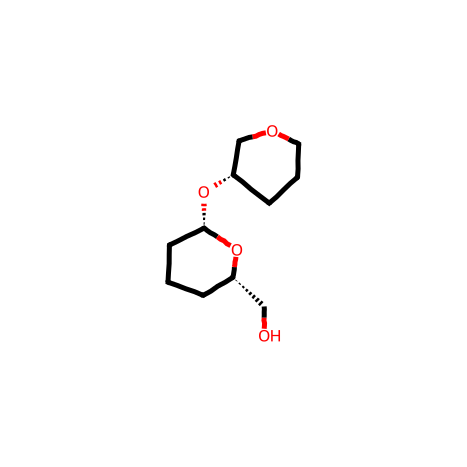 OC[C@@H]1CCC[C@H](O[C@H]2CCCOC2)O1